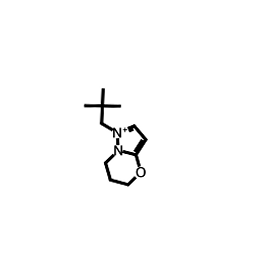 CC(C)(C)C[n+]1ccc2n1CCCO2